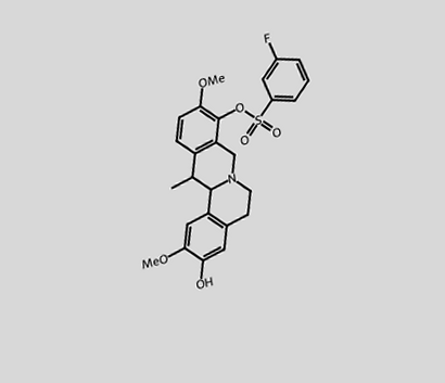 COc1cc2c(cc1O)CCN1Cc3c(ccc(OC)c3OS(=O)(=O)c3cccc(F)c3)C(C)C21